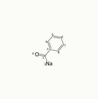 O=[C]([Na])c1ccccc1